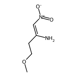 COCC/C(N)=C/[N+](=O)[O-]